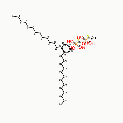 CCCCCCCCCCCCCc1ccccc1CCCCCCCCCCCCC.OP(O)(O)=S.OP(O)(O)=S.[Zn]